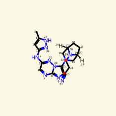 Cc1cc(Nc2cnc3ncc(N4C[C@H]5CC[C@@H](C4)N5CCC#N)n3n2)n[nH]1